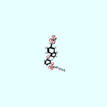 CCCCCS(=O)(=O)Oc1cccc(Oc2cccc3cc(COS(C)(=O)=O)ccc23)c1